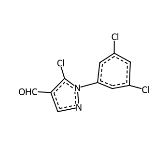 O=Cc1cnn(-c2cc(Cl)cc(Cl)c2)c1Cl